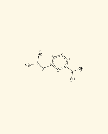 CN[C@@H](Cc1cccc(C(O)O)c1)C(C)=O